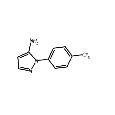 Nc1ccnn1-c1ccc(C(F)(F)F)cc1